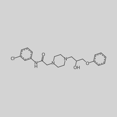 O=C(CN1CCN(CC(O)COc2ccccc2)CC1)Nc1cccc(Cl)c1